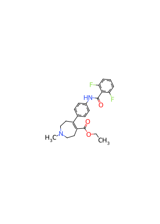 CCOC(=O)C1=C(c2ccc(NC(=O)c3c(F)cccc3F)cc2)CCN(C)CC1